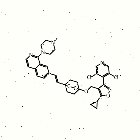 CN1CCN(c2nccc3ccc(/C=C/C45CCC(OCc6c(-c7c(Cl)cncc7Cl)noc6C6CC6)(CC4)CC5)cc23)CC1